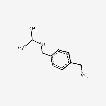 CC(C)NCc1ccc(CN)cc1